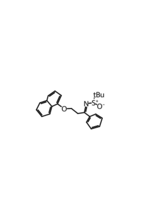 CC(C)(C)[S@+]([O-])N=C(CCOc1cccc2ccccc12)c1ccccc1